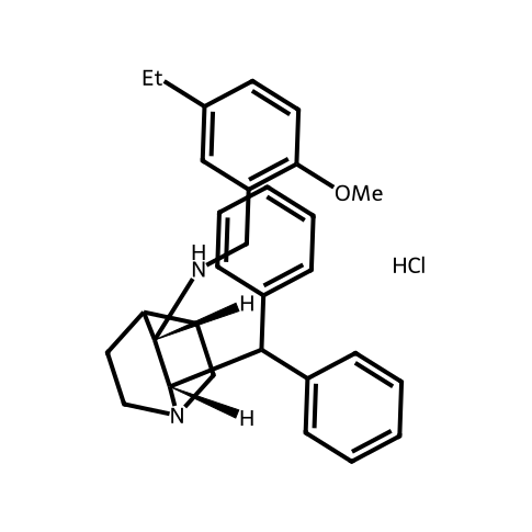 CCc1ccc(OC)c(CN[C@H]2C3CCN(CC3)[C@H]2C(c2ccccc2)c2ccccc2)c1.Cl